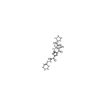 CCCN1C(=O)c2cc(C(=O)NCCC3=CCCCC3)nn2CC1(C)C(=O)NC1CCCC1